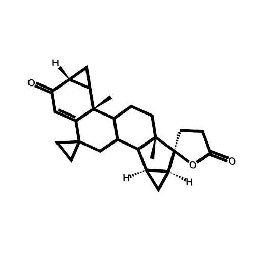 C[C@@]12C(=CC(=O)[C@@H]3CC31)C1(CC1)CC1C2CC[C@@]2(C)C1[C@@H]1C[C@@H]1[C@@]21CCC(=O)O1